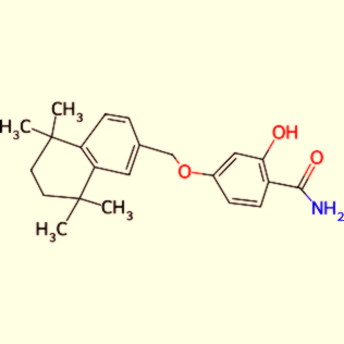 CC1(C)CCC(C)(C)c2cc(COc3ccc(C(N)=O)c(O)c3)ccc21